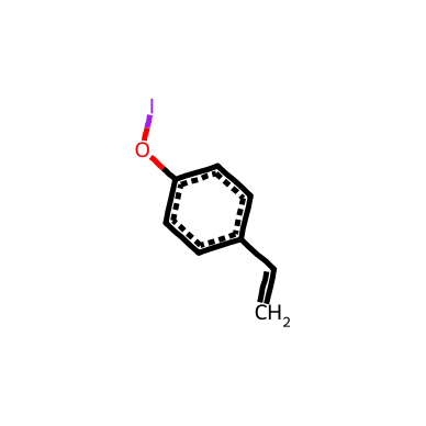 C=Cc1ccc(OI)cc1